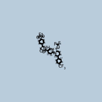 CCS(=O)(=O)c1ccc([C@H](CO)NC(=O)c2ccc(N3CC(c4ccc(C(F)(F)F)cc4)CC[C@H]3COC(F)F)nc2)cc1